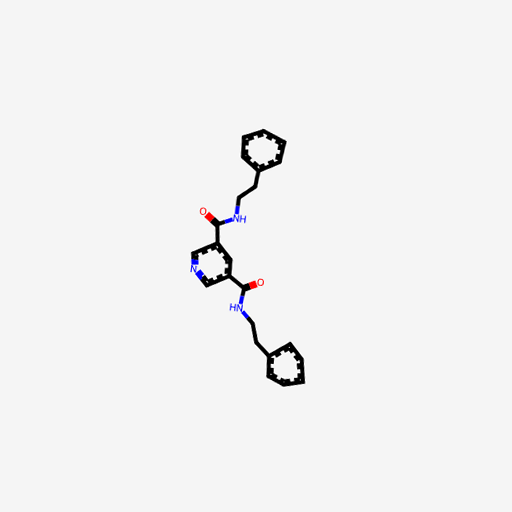 O=C(NCCc1ccccc1)c1cncc(C(=O)NCCc2ccccc2)c1